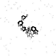 Cn1ncc2cccc(NS(=O)(=O)c3cnn(-c4cc(N5CC[C@@H](F)C5)ccn4)c3)c21